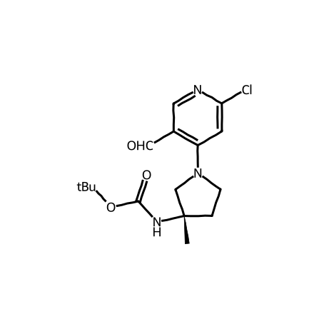 CC(C)(C)OC(=O)N[C@@]1(C)CCN(c2cc(Cl)ncc2C=O)C1